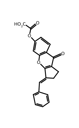 O=C(O)C(=O)Oc1ccc2c(=O)c3c(oc2c1)C(=Cc1ccccc1)CC3